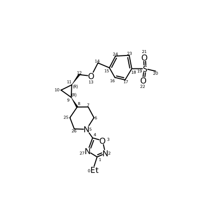 CCc1noc(N2CCC([C@H]3C[C@H]3COCc3ccc(S(C)(=O)=O)cc3)CC2)n1